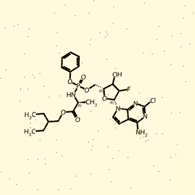 CCC(CC)COC(=O)[C@H](C)NP(=O)(OC[C@H]1O[C@@H](n2ccc3c(N)nc(Cl)nc32)C(F)C1O)Oc1ccccc1